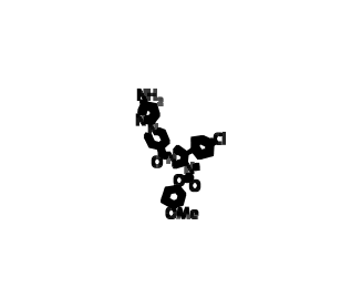 COC1CCC(OC(=O)N(C)[C@@H]2CN(C(=O)C3CCN(c4ccc(N)cn4)CC3)C[C@H]2c2ccc(Cl)cc2)CC1